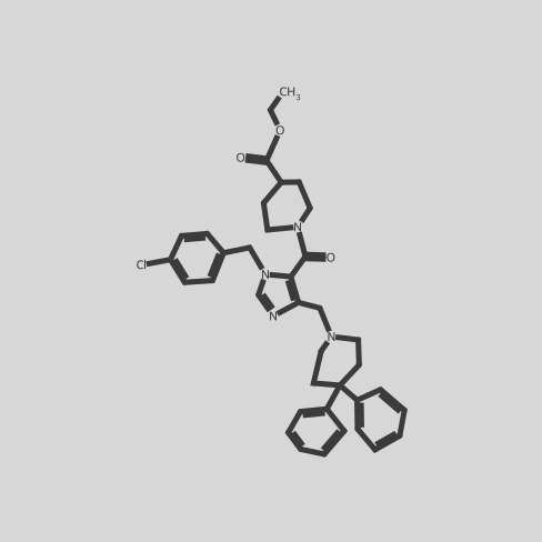 CCOC(=O)C1CCN(C(=O)c2c(CN3CCC(c4ccccc4)(c4ccccc4)CC3)ncn2Cc2ccc(Cl)cc2)CC1